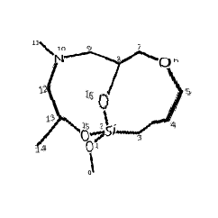 CO[Si]12CCCOCC(CN(C)CC(C)O1)O2